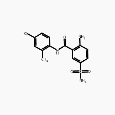 Cc1cc(Cl)ccc1NC(=O)c1cc(S(N)(=O)=O)ccc1N